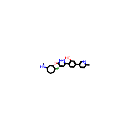 CNC1CCCC(F)[C@@H](Oc2ccc(-c3ccc(-c4ccc(C)nc4)cc3O)nn2)C1